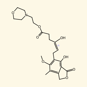 COc1c(C)c2c(c(O)c1C/C=C(/O)CCC(=O)OCCN1CCOCC1)C(=O)OC2